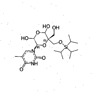 Cc1cn([C@@H]2O[C@@](CO)(CO[Si](C(C)C)(C(C)C)C(C)C)C(O)OC2O)c(=O)[nH]c1=O